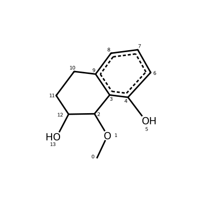 COC1c2c(O)cccc2CCC1O